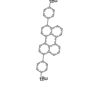 CC(C)(C)c1ccc(-c2ccc3c4ccc(-c5ccc(C(C)(C)C)cc5)c5cccc(c6cccc2c63)c54)cc1